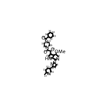 COc1cnc(-n2ccc(-c3ccc(C)nc3)n2)c2[nH]cc(C(=O)C(=O)N3CCN(C(=O)c4ccccc4)CC3)c12